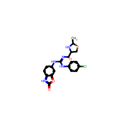 CC1NC(C(=O)/N=C(\Nc2ccc(Cl)cc2)Nc2ccc3[nH]c(=O)oc3c2)CS1